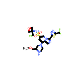 COCC1CN(c2cc(S(=O)(=O)NC3(CF)COC3)cn3c(-c4nnc(C(F)F)s4)ncc23)CCN1